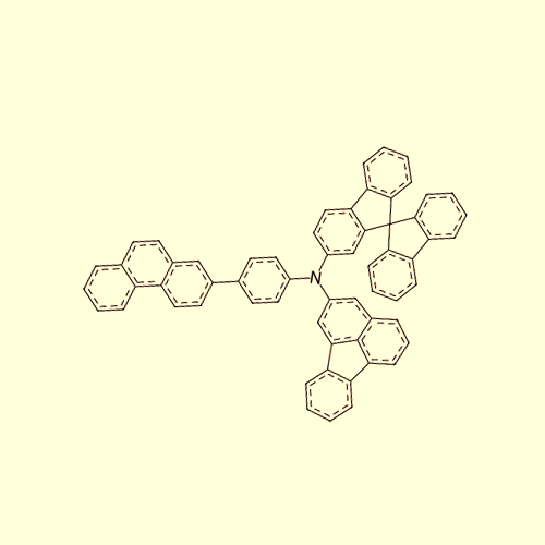 c1ccc2c(c1)-c1cccc3cc(N(c4ccc(-c5ccc6c(ccc7ccccc76)c5)cc4)c4ccc5c(c4)C4(c6ccccc6-c6ccccc64)c4ccccc4-5)cc-2c13